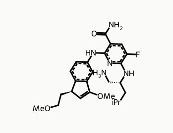 COCC[C@@H]1C=C(OC)c2cc(Nc3nc(N[C@@H](CN)CC(C)C)c(F)cc3C(N)=O)ccc21